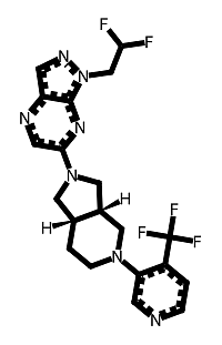 FC(F)Cn1ncc2ncc(N3C[C@H]4CCN(c5cnccc5C(F)(F)F)C[C@H]4C3)nc21